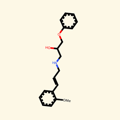 COc1ccccc1C=CCNCC(O)COc1ccccc1